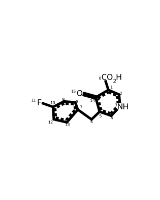 O=C(O)c1c[nH]cc(Cc2ccc(F)cc2)c1=O